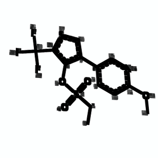 CCS(=O)(=O)Oc1c(-c2ccc(OC)nc2)csc1C(F)(F)F